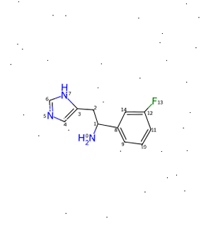 NC(Cc1cnc[nH]1)c1cccc(F)c1